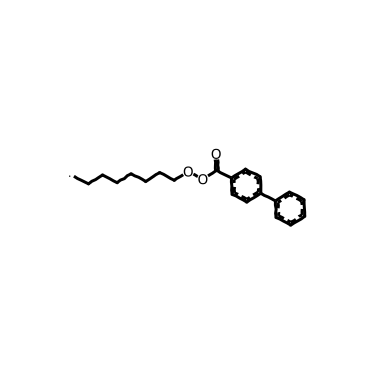 [CH2]CCCCCCCOOC(=O)c1ccc(-c2ccccc2)cc1